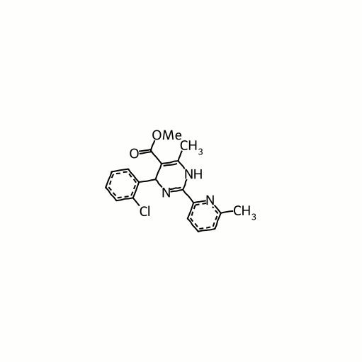 COC(=O)C1=C(C)NC(c2cccc(C)n2)=NC1c1ccccc1Cl